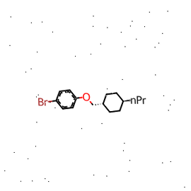 CCC[C@H]1CC[C@H](COc2ccc(Br)cc2)CC1